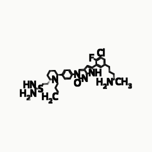 C=CCCN1[C@H](CCSC(=N)N)CCC[C@H]1c1ccc(-n2cc3cc(-c4cc(CCC[C@H](C)N)cc(Cl)c4F)[nH]c3nc2=O)cc1